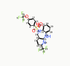 O=S(=O)(c1ccc(OC(F)(F)F)cc1)N1Cc2ccc(C(F)(F)F)nc2Nc2cccc(O)c21